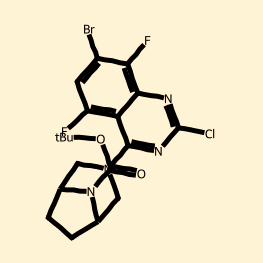 CC(C)(C)OC(=O)N1C2CCC1CN(c1nc(Cl)nc3c(F)c(Br)cc(F)c13)C2